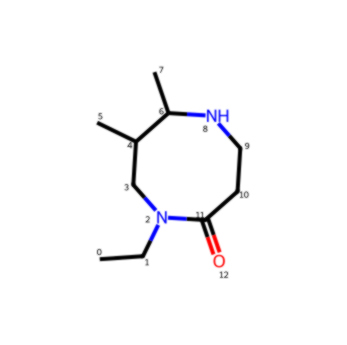 CCN1CC(C)C(C)NCCC1=O